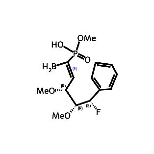 B/C(=C\[C@@H](OC)[C@@H](OC)[C@@H](F)c1ccccc1)P(=O)(O)OC